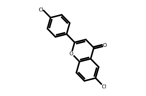 O=c1cc(-c2ccc(Cl)cc2)oc2ccc(Cl)cc12